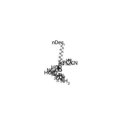 CCCCCCCCCCCCCCCCCCCC[C@H](COP(=O)(O)OC[C@@]1(C#N)O[C@@H](c2ccc3c(N)ncnn23)C[C@@H]1O)OCc1ccc(C#N)nc1